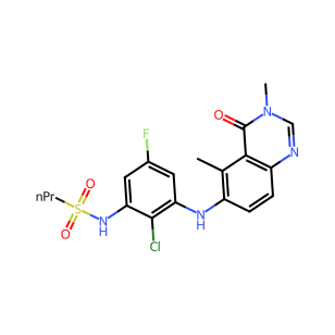 CCCS(=O)(=O)Nc1cc(F)cc(Nc2ccc3ncn(C)c(=O)c3c2C)c1Cl